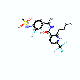 CCCCc1nc(C(F)(F)F)ccc1C(=O)N[C@H](C)c1ccc(NS(C)(=O)=O)c(F)c1